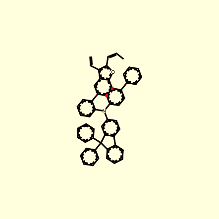 C=Cc1c(/C=C\C)oc2ccc(-c3ccccc3N(c3ccc(-c4ccccc4)cc3)c3ccc4c(c3)C(c3ccccc3)(c3ccccc3)c3ccccc3-4)cc12